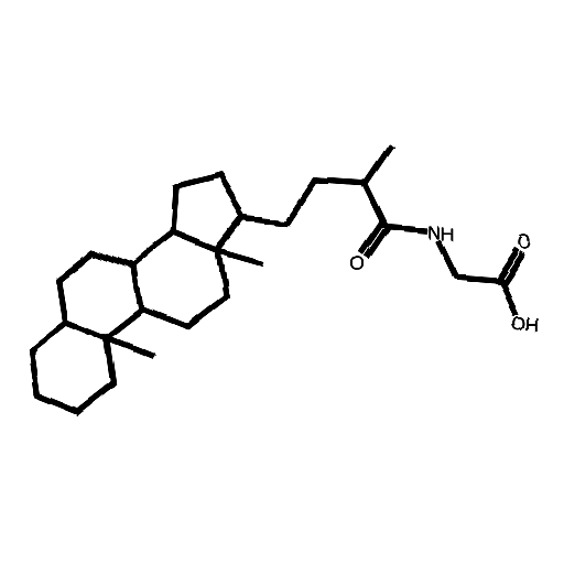 CC(CCC1CCC2C3CCC4CCCCC4(C)C3CCC12C)C(=O)NCC(=O)O